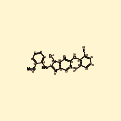 CCn1c(Nc2ccccc2OC)nc2cnc(Oc3c(F)cccc3F)nc21